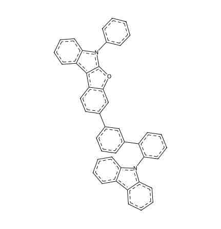 c1ccc(-n2c3ccccc3c3c4ccc(-c5cccc(-c6ccccc6-n6c7ccccc7c7ccccc76)c5)cc4oc32)cc1